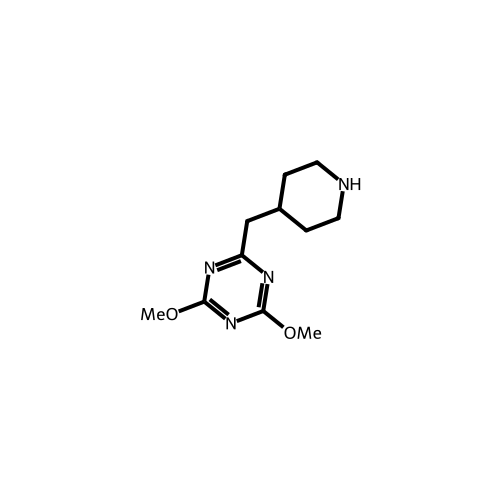 COc1nc(CC2CCNCC2)nc(OC)n1